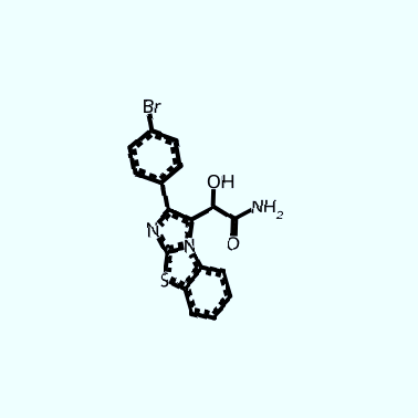 NC(=O)C(O)c1c(-c2ccc(Br)cc2)nc2sc3ccccc3n12